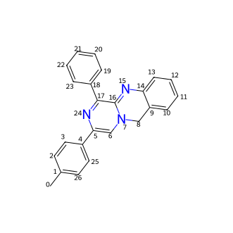 Cc1ccc(C2=CN3Cc4ccccc4N=C3C(c3ccccc3)=N2)cc1